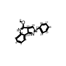 COc1nc2ccccc2c2nn(-c3ccccc3)cc12